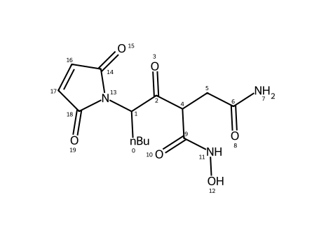 CCCCC(C(=O)C(CC(N)=O)C(=O)NO)N1C(=O)C=CC1=O